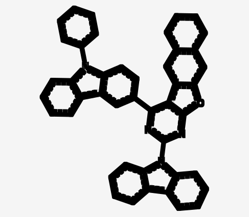 c1ccc(-n2c3ccccc3c3cc(-c4nc(-n5c6ccccc6c6ccccc65)nc5oc6cc7ccccc7cc6c45)ccc32)cc1